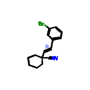 N#CC1(/C=C/c2cccc(Br)c2)CCCCC1